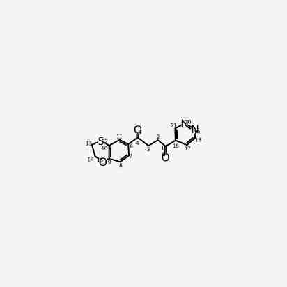 O=C(CCC(=O)c1ccc2c(c1)SCCO2)c1ccnnc1